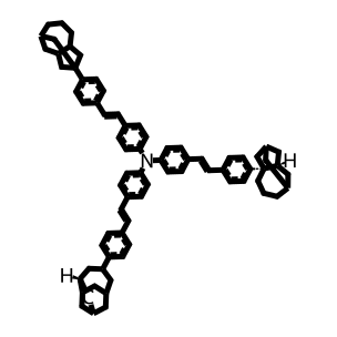 C(=C\c1ccc(N(c2ccc(/C=C/c3ccc(C45CC6CCCC(C4)C(C6)C5)cc3)cc2)c2ccc(/C=C/c3ccc([C@@]45CCCC6CC(C[C@H]4C6)C5)cc3)cc2)cc1)/c1ccc(C2CC3CC4CC(C3)[C@@H](C4)C2)cc1